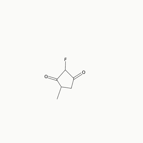 CC1CC(=O)C(F)C1=O